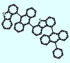 c1ccc(-c2c3ccccc3c(-c3cccc4sc5c(-c6c7ccccc7c(-c7cccc8sc9ccccc9c78)c7ccccc67)cccc5c34)c3ccccc23)cc1